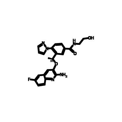 C[C@H](Oc1cc2cc(F)ccc2nc1N)c1cc(C(=O)NCCO)ccc1-n1cccn1